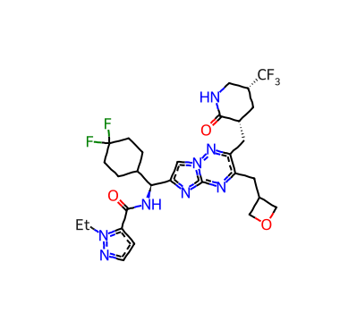 CCn1nccc1C(=O)N[C@H](c1cn2nc(C[C@H]3C[C@@H](C(F)(F)F)CNC3=O)c(CC3COC3)nc2n1)C1CCC(F)(F)CC1